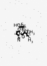 CC[C@H](C)[C@H](N)C(=O)N1CCC[C@H]1C#N.O=C(O)C(F)(F)F